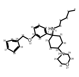 CCCCCNC1(c2cccc(OCc3ccccc3)c2)CCC(N2CCOCC2)CC1